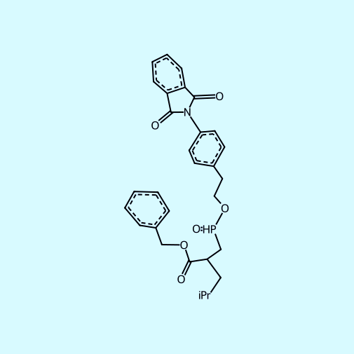 CC(C)CC(C[PH](=O)OCCc1ccc(N2C(=O)c3ccccc3C2=O)cc1)C(=O)OCc1ccccc1